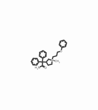 C[N@@+]1(CCCOc2ccccc2)CCC(C(C(N)=O)(c2ccccc2)c2ccccc2)C1